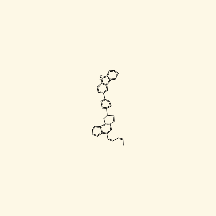 C/C=C\C=C/c1cc2c(c3ccccc13)CC(c1ccc(-c3ccc4sc5ccccc5c4c3)cc1)C=C2